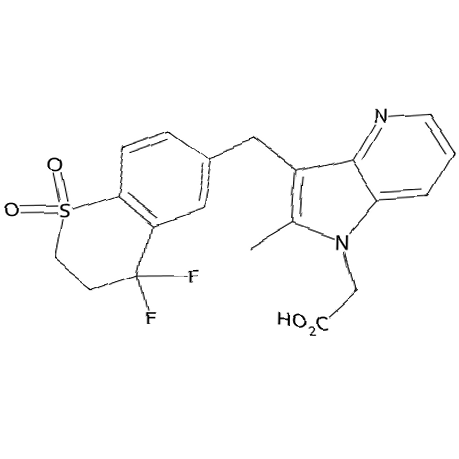 Cc1c(Cc2ccc3c(c2)C(F)(F)CCS3(=O)=O)c2ncccc2n1CC(=O)O